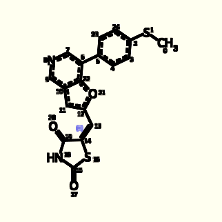 CSc1ccc(-c2cncc3cc(/C=C4/SC(=O)NC4=O)oc23)cc1